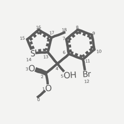 COC(=O)C(O)(c1ccccc1Br)c1sccc1C